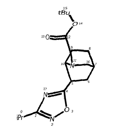 CC(C)c1noc(C2CC3CCC2N(C(=O)OC(C)(C)C)C3)n1